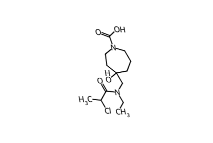 CCN(CC1(O)CCCN(C(=O)O)CC1)C(=O)C(C)Cl